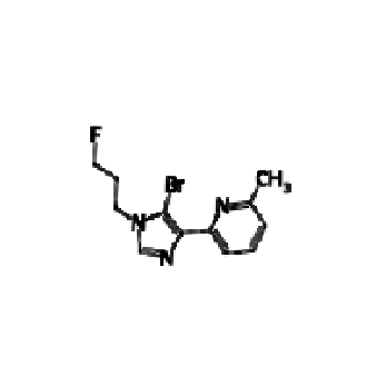 Cc1cccc(-c2ncn(CCCF)c2Br)n1